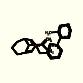 C=C(C)C1=CC2CCCC(=C1)C2NCc1cccc(-c2ccccc2C)c1